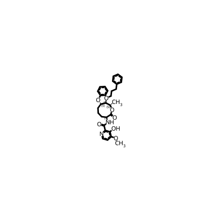 COc1ccnc(C(=O)N[C@H]2CCC[C@H](Oc3ccccc3)[C@@H](OCCCc3ccccc3)[C@H](C)OC2=O)c1O